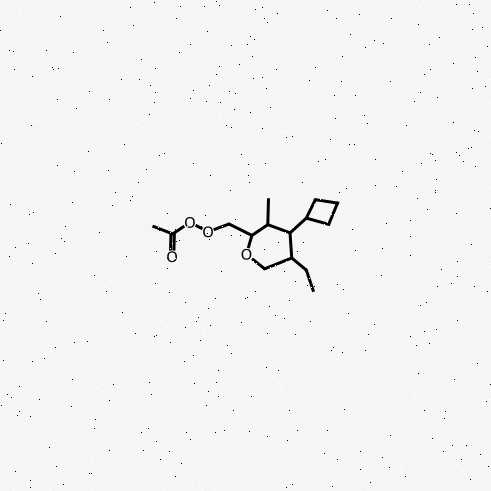 CCC1COC(COOC(C)=O)C(C)C1C1CCC1